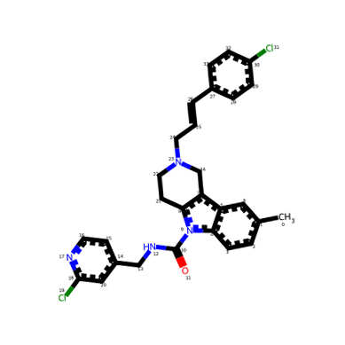 Cc1ccc2c(c1)c1c(n2C(=O)NCc2ccnc(Cl)c2)CCN(CC=Cc2ccc(Cl)cc2)C1